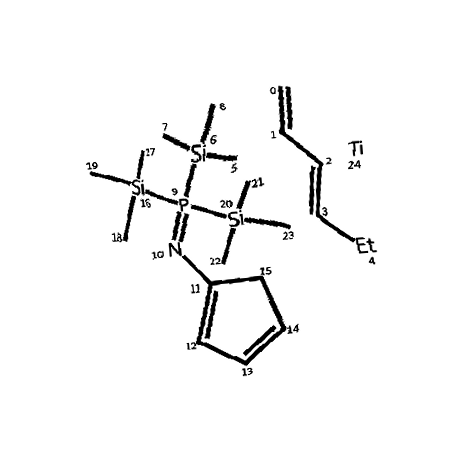 C=CC=CCC.C[Si](C)(C)P(=NC1=CC=CC1)([Si](C)(C)C)[Si](C)(C)C.[Ti]